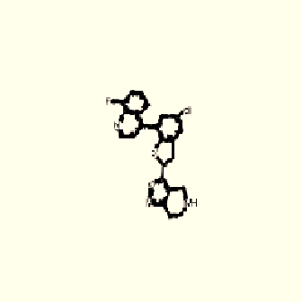 Fc1cccc2c(-c3cc(Cl)cc4c3OC(c3onc5c3CNCC5)C4)ccnc12